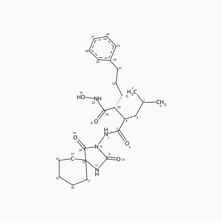 CC(C)CC(C(=O)NN1C(=O)NC2(CCCCC2)C1=O)[C@@H](CCCc1ccccc1)C(=O)NO